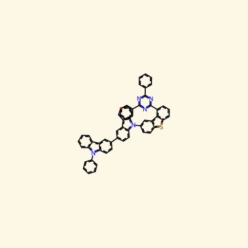 c1ccc(-c2nc(-c3ccccc3)nc(-c3cccc4sc5ccc(-n6c7ccccc7c7cc(-c8ccc9c(c8)c8ccccc8n9-c8ccccc8)ccc76)cc5c34)n2)cc1